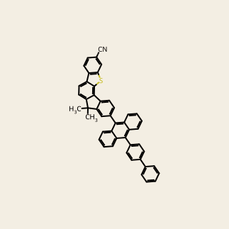 CC1(C)c2cc(-c3c4ccccc4c(-c4ccc(-c5ccccc5)cc4)c4ccccc34)ccc2-c2c1ccc1c2sc2cc(C#N)ccc21